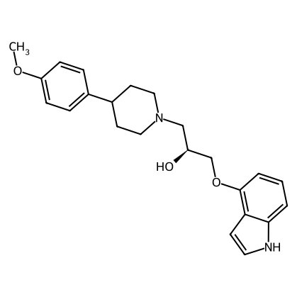 COc1ccc(C2CCN(C[C@H](O)COc3cccc4[nH]ccc34)CC2)cc1